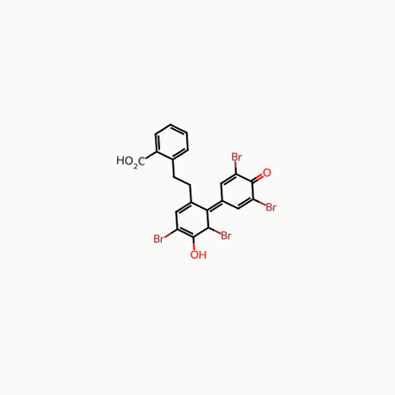 O=C1C(Br)=CC(=C2C(CCc3ccccc3C(=O)O)=CC(Br)=C(O)C2Br)C=C1Br